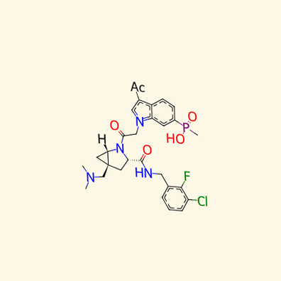 CC(=O)c1cn(CC(=O)N2[C@H]3C[C@@]3(CN(C)C)C[C@H]2C(=O)NCc2cccc(Cl)c2F)c2cc(P(C)(=O)O)ccc12